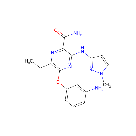 CCc1nc(C(N)=O)c(Nc2ccn(C)n2)nc1Oc1cccc(N)c1